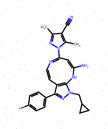 Cc1nn(-c2cc(N)[nH]c3c(ccn2)c(-c2ccc(F)cc2)nn3CC2CC2)c(C)c1C#N